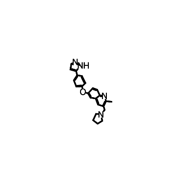 Cc1nc2ccc(Oc3ccc(-c4ccn[nH]4)cc3)cc2cc1CN1CCCC1